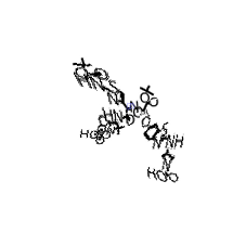 CC(C)(C)OC(=O)Nc1nc(/C(=N/O[C@@H](COc2ccc3nc(NC4CN(C(=O)O)C4)sc3c2)C(=O)OC(C)(C)C)C(=O)N[C@@H]2C(=O)N(OS(=O)(=O)O)C2(C)C)cs1